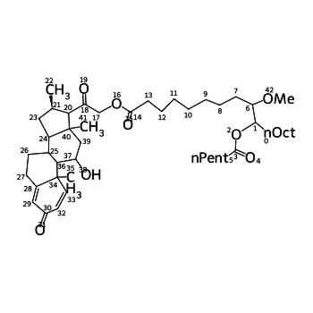 CCCCCCCCC(OC(=O)CCCCC)C(CCCCCCCC(=O)OCC(=O)C1[C@H](C)CC2C3CCC4=CC(=O)C=CC4(C)C3C(O)CC21C)OC